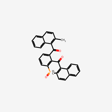 Cc1ccc2ccccc2c1C(=O)c1cccc(P=O)c1C(=O)c1c(C)ccc2ccccc12